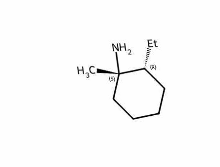 CC[C@@H]1CCCC[C@]1(C)N